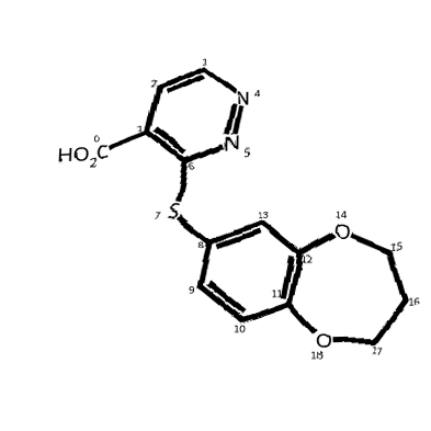 O=C(O)c1ccnnc1Sc1ccc2c(c1)OCCCO2